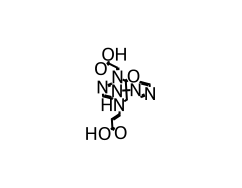 O=C(O)C=CNCC(C(=O)N=CC(=O)O)(n1ccnc1)n1ccnc1